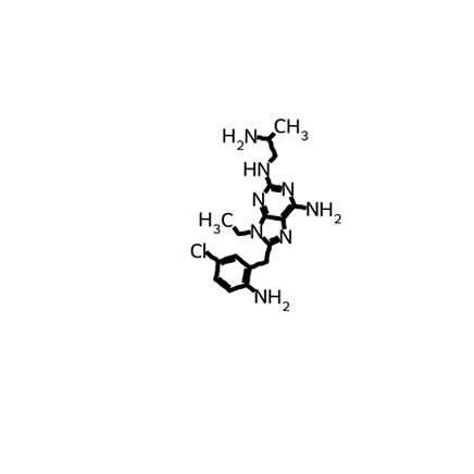 CCn1c(Cc2cc(Cl)ccc2N)nc2c(N)nc(NCC(C)N)nc21